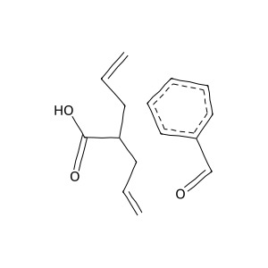 C=CCC(CC=C)C(=O)O.O=Cc1ccccc1